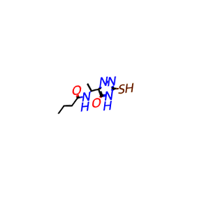 CCCC(=O)NC(C)c1nnc(S)[nH]c1=O